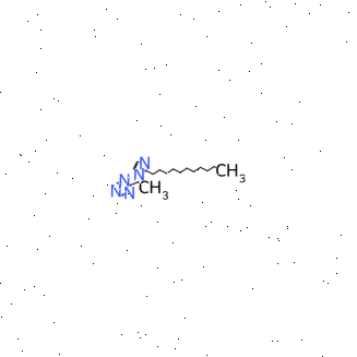 CCCCCCCCCCCc1nccn1C(C)c1ncncn1